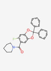 O=C(c1cc2c(cc1F)OC(c1ccccc1)(c1ccccc1)O2)N1CCCCC1